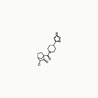 O=C1C(Cl)C2CCC1(C(=O)N1CCC(c3c[nH]cn3)CC1)C2